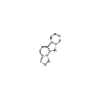 C1=c2ccc3c(c2N=N1)N=c1ccccc1=3